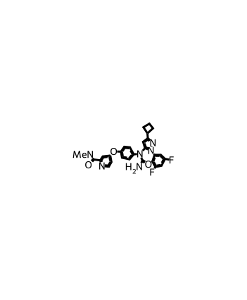 CNC(=O)c1cc(Oc2ccc(N(C(N)=O)c3cc(C4CCC4)nn3-c3cc(F)cc(F)c3)cc2)ccn1